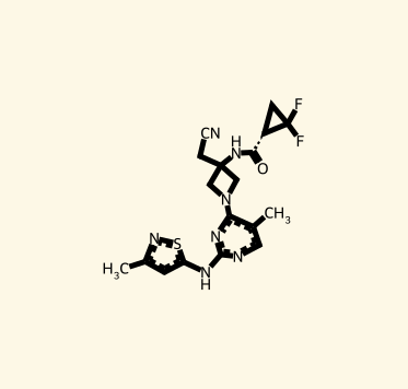 Cc1cc(Nc2ncc(C)c(N3CC(CC#N)(NC(=O)[C@@H]4CC4(F)F)C3)n2)sn1